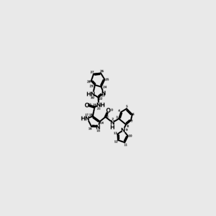 O=C(Nc1ccccc1-n1cccc1)c1nc[nH]c1C(=O)Nc1nc2ccccc2[nH]1